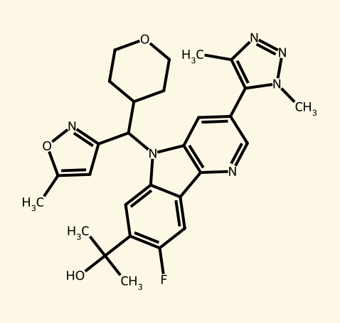 Cc1cc(C(C2CCOCC2)n2c3cc(C(C)(C)O)c(F)cc3c3ncc(-c4c(C)nnn4C)cc32)no1